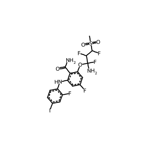 CS(=O)(=O)C(F)C(F)C(N)(F)Oc1cc(F)cc(Nc2ccc(I)cc2F)c1C(N)=O